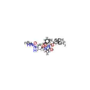 CCCCNC(=O)NC1CCC(CN2C(=O)N(COCC[Si](C)(C)C)C(=O)C23CCC3)(OCc2ccccc2)CC1